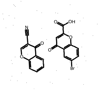 N#Cc1coc2ccccc2c1=O.O=C(O)c1cc(=O)c2cc(Br)ccc2o1